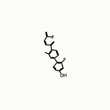 C=C(F)/C=C\C(=C)c1ccc(-c2ccc(O)cc2F)cc1C